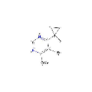 COc1ncnc(C2(C)CC2)c1C(C)(C)C